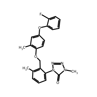 Cc1cc(Oc2ccccc2F)ccc1OCc1c(C)cccc1-n1nnn(C)c1=O